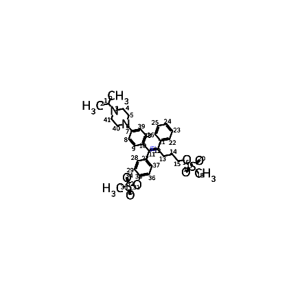 CC(C)N1CCN(c2ccc(/C(=C(/CCCOS(C)(=O)=O)c3ccccc3)c3ccc(OS(C)(=O)=O)cc3)cc2)CC1